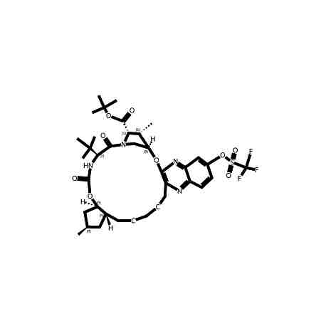 C[C@@H]1C[C@H]2CCCCCc3nc4ccc(OS(=O)(=O)C(F)(F)F)cc4nc3O[C@H]3CN(C(=O)[C@H](C(C)(C)C)NC(=O)O[C@@H]2C1)[C@H](C(=O)OC(C)(C)C)[C@@H]3C